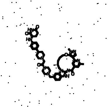 Cc1cc2cc(n1)-c1cnn(C)c1OCCC[C@@H](C)CN1/C(=N/C2=O)Nc2ccc(CN3CCN(C(=O)CN4CCC(c5ccc(NC6CCC(=O)NC6=O)cc5)CC4)CC3)cc21